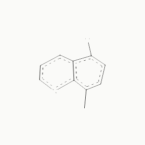 Cc1ccc([O])c2cccnc12